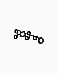 O=C1OCc2cc3c(cc21)OCC(COCc1ccccc1)O3